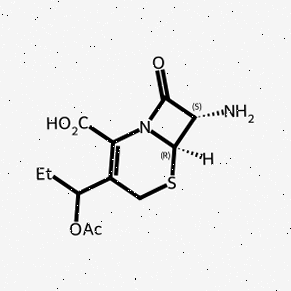 CCC(OC(C)=O)C1=C(C(=O)O)N2C(=O)[C@H](N)[C@H]2SC1